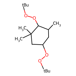 CC1CC(OOC(C)(C)C)CC(C)(C)C1OOC(C)(C)C